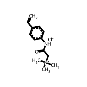 C=Cc1ccc(NC(=O)C[N+](C)(C)C)cc1.[Cl-]